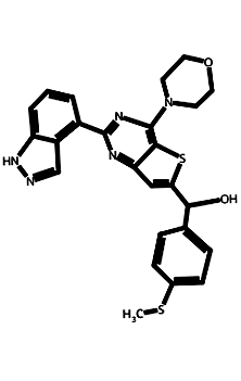 CSc1ccc(C(O)c2cc3nc(-c4cccc5[nH]ncc45)nc(N4CCOCC4)c3s2)cc1